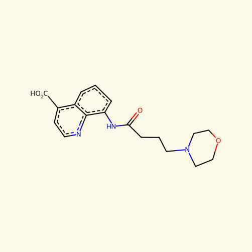 O=C(CCCN1CCOCC1)Nc1cccc2c(C(=O)O)ccnc12